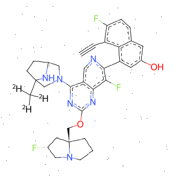 [2H]C([2H])([2H])C12CCC(CN(c3nc(OC[C@@]45CCCN4C[C@H](F)C5)nc4c(F)c(-c5cc(O)cc6ccc(F)c(C#C)c56)ncc34)C1)N2